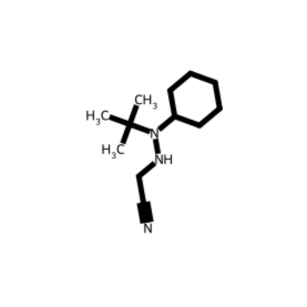 CC(C)(C)N(NCC#N)C1CCCCC1